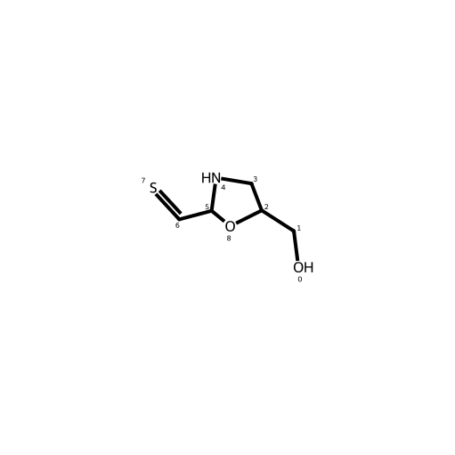 OCC1CNC(C=S)O1